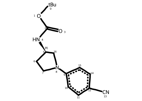 CC(C)(C)OC(=O)N[C@@H]1CCN(c2ccc(C#N)cc2)C1